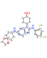 O[C@H]1CC[C@@H](n2c(Nc3ccc(F)cc3F)nc3cnc(NC4CCC5(CC4)OCCO5)nc32)CC1